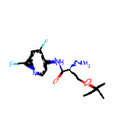 CC(C)(C)OC[C@H](N)C(=O)Nc1cnc(F)cc1F